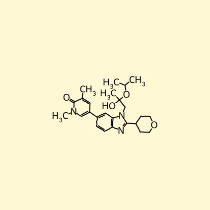 Cc1cc(-c2ccc3nc(C4CCOCC4)n(CC(C)(O)OC(C)C)c3c2)cn(C)c1=O